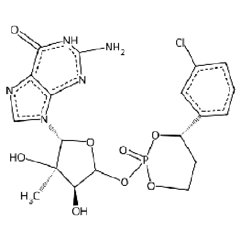 C[C@@]1(O)[C@H](O)C(OP2(=O)OCC[C@@H](c3cccc(Cl)c3)O2)O[C@H]1n1cnc2c(=O)[nH]c(N)nc21